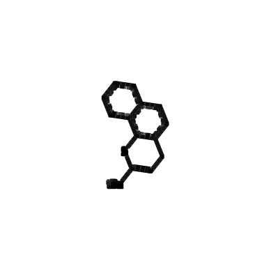 CC(C)(C)C1=CCc2ccc3ccccc3c2S1